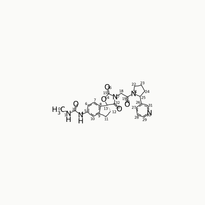 CNC(=O)Nc1ccc2c(c1)CC[C@@]21OC(=O)N(CC(=O)N2CCCC2c2cccnc2)C1=O